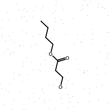 CCCCOC(=O)CC[O]